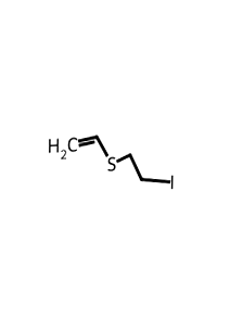 C=CSCCI